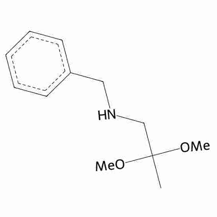 COC(C)(CNCc1ccccc1)OC